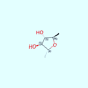 C[C@H]1O[C@H](C)[C@@H](O)[C@@H]1O